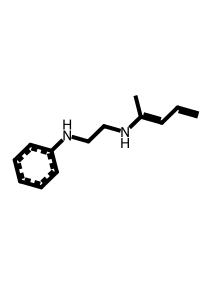 C=C/C=C(\C)NCCNc1ccccc1